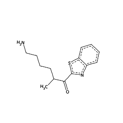 CC(CCCCN)C(=O)c1nc2ccccc2s1